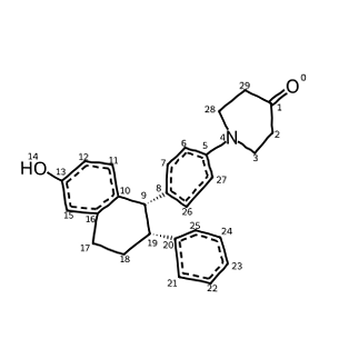 O=C1CCN(c2ccc([C@H]3c4ccc(O)cc4CC[C@H]3c3ccccc3)cc2)CC1